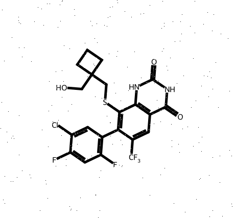 O=c1[nH]c(=O)c2cc(C(F)(F)F)c(-c3cc(Cl)c(F)cc3F)c(SCC3(CO)CCC3)c2[nH]1